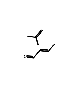 C=C(C)C.CC=CC=O